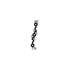 [C-]#[N+]c1ccc(/C=C/c2cc3sc4cc5c(cc4c3s2)sc2cc(/C=C/c3ccc(C#N)cc3)sc25)cc1